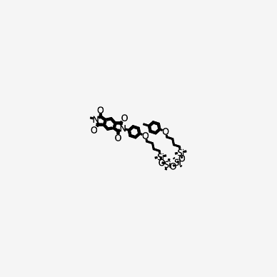 Cc1ccc(OCCCC[Si](C)(C)O[Si](C)(C)O[Si](C)(C)O[Si](C)(C)CCCCOc2ccc(-n3c(=O)c4cc5c(=O)n(C)c(=O)c5cc4c3=O)cc2)cc1